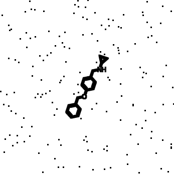 c1ccc(COc2ccc(CNC3CC3)cc2)cc1